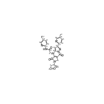 CCC(CC=O)N1Cc2c(n(CC(=O)Nc3ccc(F)cn3)c3cc(-c4ccc(C)cn4)nn3c2=O)C1=O